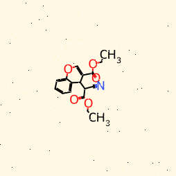 CCOC(=O)C1=COc2ccccc2C1C(C#N)C(=O)OCC